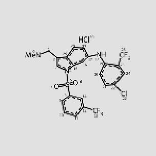 CNCc1cn(S(=O)(=O)c2cccc(C(F)(F)F)c2)c2cc(Nc3ccc(Cl)cc3C(F)(F)F)ccc12.Cl